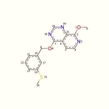 COc1nccc2c(OCc3cccc(SC)c3)ncnc12